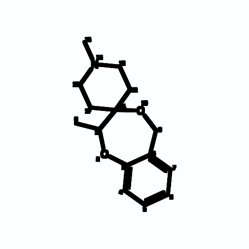 CC1Oc2ccccc2COC12CCN(C)CC2